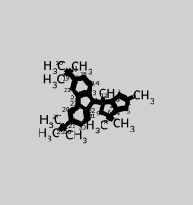 CC1=CC2C(=C1)C(C)(C)CC2(C)C1c2ccc(C(C)(C)C)cc2-c2cc(C(C)(C)C)ccc21